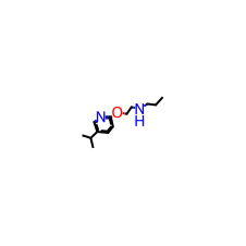 CCCNCCOc1ccc(C(C)C)cn1